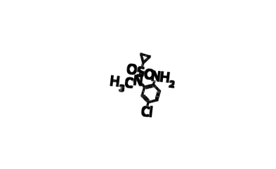 CN(c1cc(Cl)ccc1N)S(=O)(=O)C1CC1